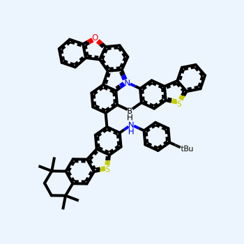 CC(C)(C)c1ccc(Nc2cc3sc4cc5c(cc4c3cc2-c2ccc3c4c6c(ccc4n4c3c2Bc2cc3sc7ccccc7c3cc2-4)oc2ccccc26)C(C)(C)CCC5(C)C)cc1